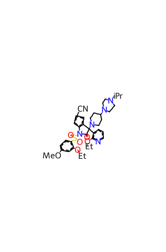 CCOc1cc(OC)ccc1S(=O)(=O)N1C(=O)C(c2cccnc2OCC)(N2CCC(N3CCN(C(C)C)CC3)CC2)c2cc(C#N)ccc21